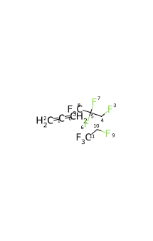 C=C=C.FCC(F)(F)C(F)(F)F.FCC(F)(F)F